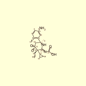 C[C@@]1(c2cc(N)ccc2F)CS(=O)(=O)[C@@](CF)(C2CC2)/C(=N/C(=O)O)N1